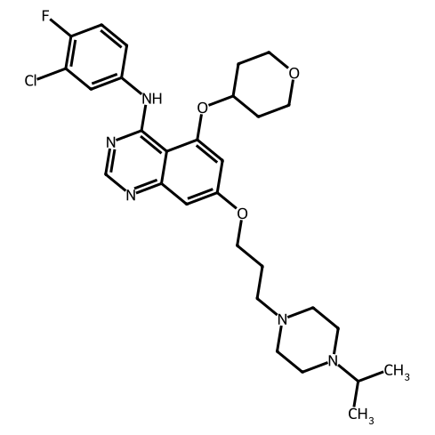 CC(C)N1CCN(CCCOc2cc(OC3CCOCC3)c3c(Nc4ccc(F)c(Cl)c4)ncnc3c2)CC1